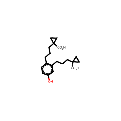 O=C(O)C1(CCCc2ccc(O)cc2CCCC2(C(=O)O)CC2)CC1